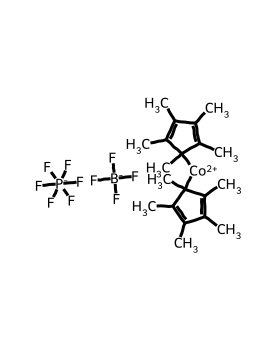 CC1=C(C)[C](C)([Co+2][C]2(C)C(C)=C(C)C(C)=C2C)C(C)=C1C.F[B-](F)(F)F.F[P-](F)(F)(F)(F)F